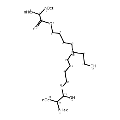 CCCCCCCCC(CCCCCC)C(=O)OCCCCN(CCO)CCCCOC(O)C(CCCCCC)CCCCCCCC